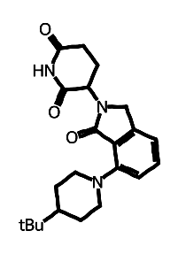 CC(C)(C)C1CCN(c2cccc3c2C(=O)N(C2CCC(=O)NC2=O)C3)CC1